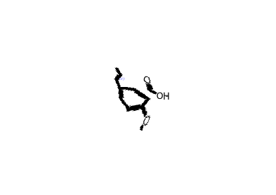 C/C=C/c1ccc(OC)cc1.O=CO